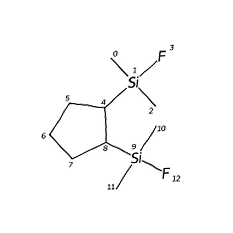 C[Si](C)(F)C1CCCC1[Si](C)(C)F